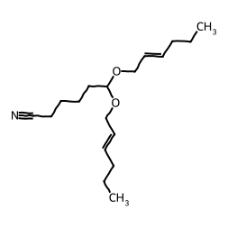 CCC/C=C/COC(CCCCC#N)OC/C=C/CCC